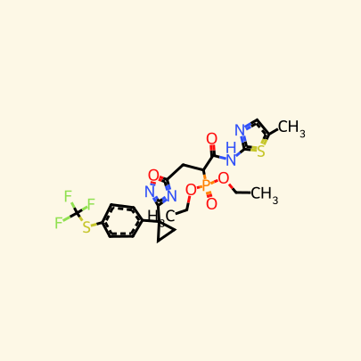 CCOP(=O)(OCC)C(Cc1nc(C2(c3ccc(SC(F)(F)F)cc3)CC2)no1)C(=O)Nc1ncc(C)s1